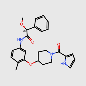 CO[C@H](C(=O)Nc1ccc(C)c(OC2CCN(C(=O)c3ccc[nH]3)CC2)c1)c1ccccc1